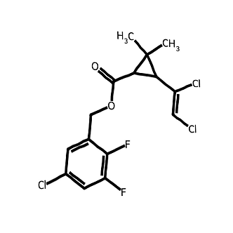 CC1(C)C(C(=O)OCc2cc(Cl)cc(F)c2F)C1C(Cl)=CCl